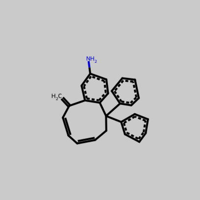 C=C1/C=C\C=C/CC(c2ccccc2)(c2ccccc2)c2ccc(N)cc21